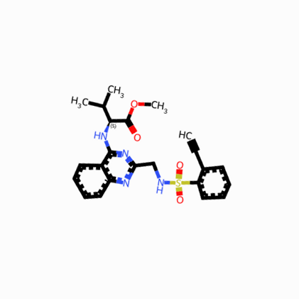 C#Cc1ccccc1S(=O)(=O)NCc1nc(N[C@H](C(=O)OC)C(C)C)c2ccccc2n1